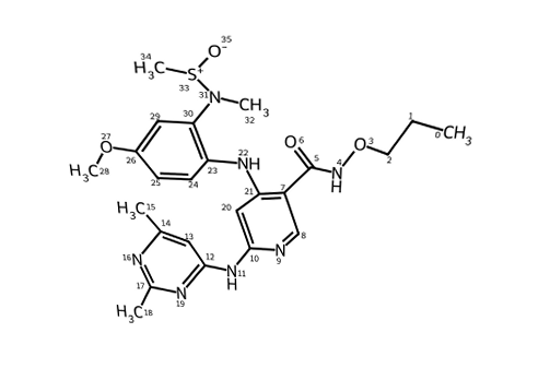 CCCONC(=O)c1cnc(Nc2cc(C)nc(C)n2)cc1Nc1ccc(OC)cc1N(C)[S+](C)[O-]